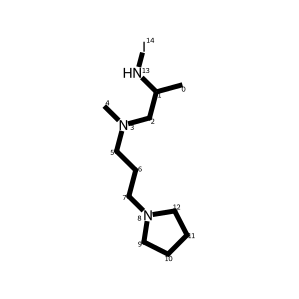 CC(CN(C)CCCN1CCCC1)NI